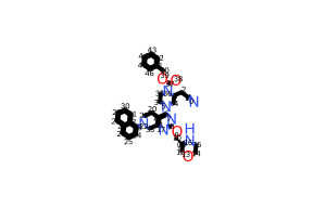 N#CCC1CN(c2nc(OC[C@@H]3COCCN3)nc3c2CCN(c2cccc4ccccc24)C3)CCN1C(=O)OCc1ccccc1